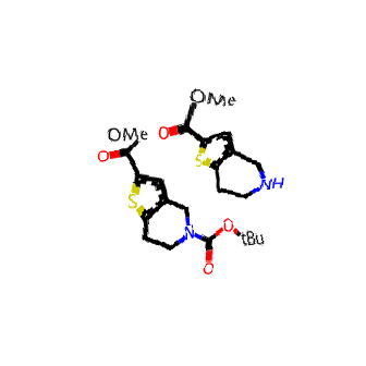 COC(=O)c1cc2c(s1)CCN(C(=O)OC(C)(C)C)C2.COC(=O)c1cc2c(s1)CCNC2